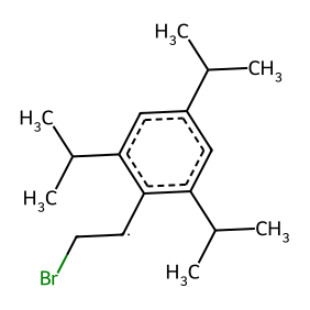 CC(C)c1cc(C(C)C)c([CH]CBr)c(C(C)C)c1